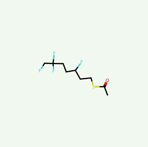 CC(=O)SCCC(F)CCC(F)(F)CF